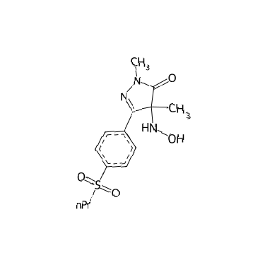 CCCS(=O)(=O)c1ccc(C2=NN(C)C(=O)C2(C)NO)cc1